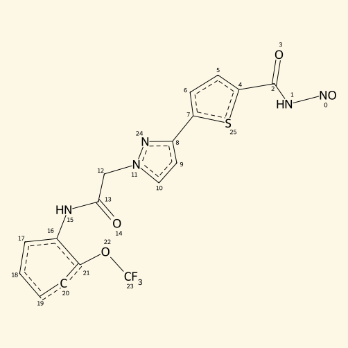 O=NNC(=O)c1ccc(-c2ccn(CC(=O)Nc3ccccc3OC(F)(F)F)n2)s1